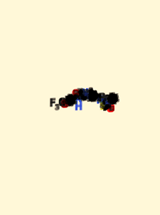 Cc1cc(/C=N/N=C2\SCC(=O)N2c2ccccc2C(C)C)ccc1-n1cc(NC(=O)c2ccc(OC(F)(F)F)cc2)c(C)n1